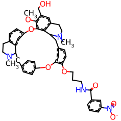 COc1c(CO)cc2c3c1Oc1ccc4c(c1)C(Cc1ccc(cc1)Oc1cc(ccc1OCCCNC(=O)c1cccc([N+](=O)[O-])c1)CC3N(C)CC2)N(C)CC4